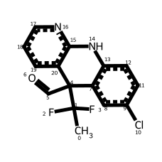 CC(F)(F)C1(C=O)c2cc(Cl)ccc2Nc2ncccc21